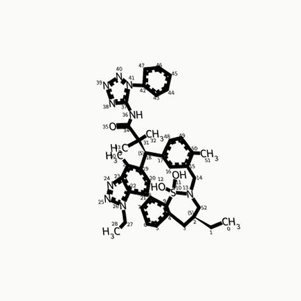 CC[C@H]1Cc2ccccc2S(O)(O)N(Cc2cc([C@@H](c3ccc4c(nnn4CC)c3C)C(C)(C)C(=O)Nc3nnnn3-c3ccccc3)ccc2C)C1